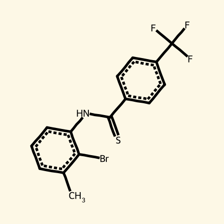 Cc1cccc(NC(=S)c2ccc(C(F)(F)F)cc2)c1Br